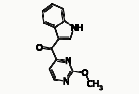 COc1nccc(C(=O)c2c[nH]c3ccccc23)n1